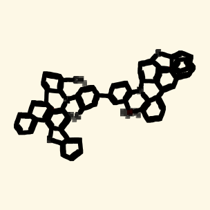 Cc1cc(-c2ccc(N(c3ccc4sc5ccccc5c4c3)c3c(C)cccc3-c3ccc4ccccc4c3)c(C)c2)ccc1N(c1ccc2sc3ccccc3c2c1)c1c(C)cccc1-c1ccc2ccccc2c1